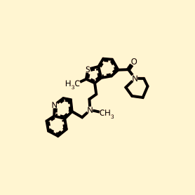 Cc1sc2ccc(C(=O)N3CCCCC3)cc2c1CCN(C)Cc1ccnc2ccccc12